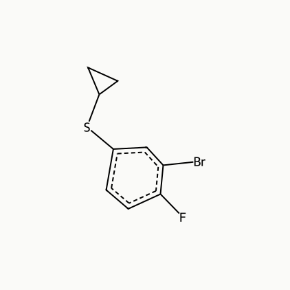 Fc1ccc(SC2CC2)cc1Br